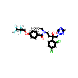 O=C(O)CN(CCC(O)(Cn1cncn1)c1ccc(Cl)cc1Cl)C(=O)c1ccc(OCC(F)(F)C(F)F)cc1